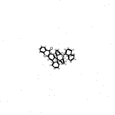 O=c1c2ccccc2oc2cc3c(cc12)C1(c2ccccc2-3)c2ccccc2N(c2cccc3ccccc23)c2ccccc21